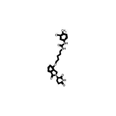 Cc1ccc(NC(=O)NCCCCCOc2cccc3c2CN(C2CCC(=O)NC2=O)C3=O)cc1Cl